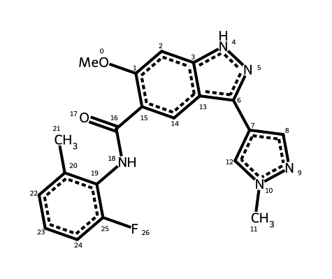 COc1cc2[nH]nc(-c3cnn(C)c3)c2cc1C(=O)Nc1c(C)cccc1F